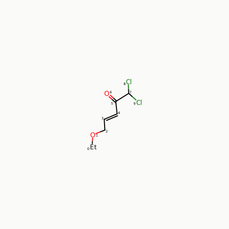 CCOC/C=C/C(=O)C(Cl)Cl